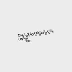 O=N[C@@H]1[C@H](N=O)CC(OCCOCCOCCOCCCCCI)O[C@@H]1CO